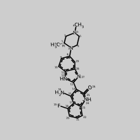 C[C@@H]1CN(C)CCN1c1ccc2[nH]c(-c3c(N)c4c(F)cccc4[nH]c3=O)nc2c1